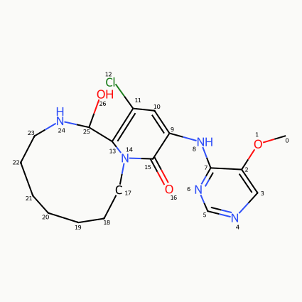 COc1cncnc1Nc1cc(Cl)c2n(c1=O)CCCCCCCNC2O